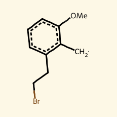 [CH2]c1c(CCBr)cccc1OC